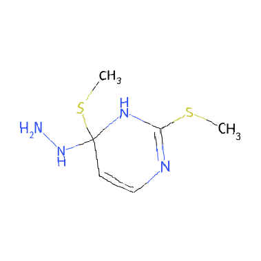 CSC1=NC=CC(NN)(SC)N1